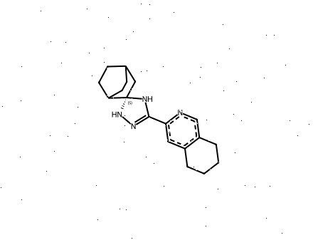 c1nc(C2=NN[C@]3(CC4CCC3CC4)N2)cc2c1CCCC2